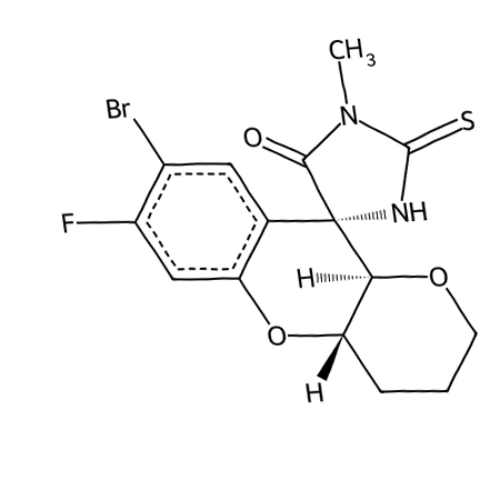 CN1C(=O)[C@]2(NC1=S)c1cc(Br)c(F)cc1O[C@H]1CCCO[C@@H]12